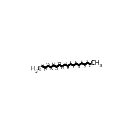 CCCCCCCCC[CH]CCCCCCCCCC